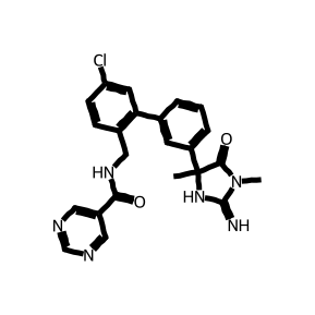 CN1C(=N)NC(C)(c2cccc(-c3cc(Cl)ccc3CNC(=O)c3cncnc3)c2)C1=O